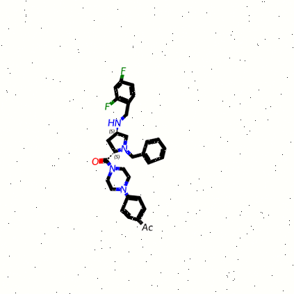 CC(=O)c1ccc(N2CCN(C(=O)[C@@H]3C[C@H](NCc4ccc(F)cc4F)CN3Cc3ccccc3)CC2)cc1